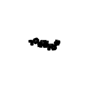 C=CC(=O)N1CCC[C@H](n2cc(-c3ccc(NC(=O)c4cccc(-c5cnoc5)n4)c(OC)c3)nn2)C1